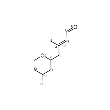 COC(C/C(C)=C/C=O)CC(C)C